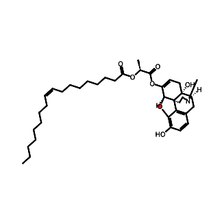 CCCCCCCC/C=C\CCCCCCCC(=O)O[C@@H](C)C(=O)OC1=CC[C@@]2(O)[C@H]3Cc4ccc(O)c5c4[C@@]2(CCN3C)[C@H]1O5